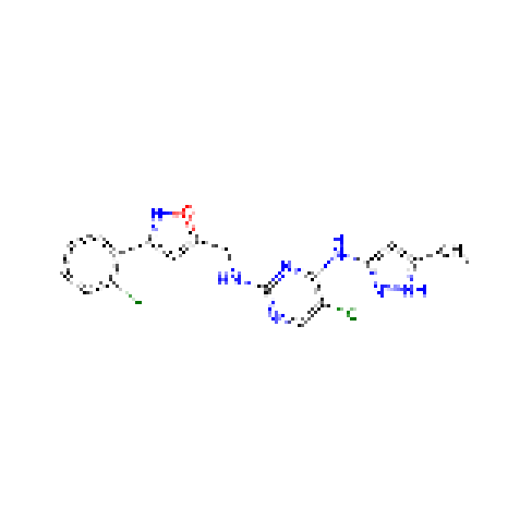 Cc1cc(Nc2nc(NCc3cc(-c4ccccc4F)no3)ncc2Cl)n[nH]1